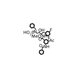 CO[C@](Cc1cc(F)cc(F)c1)(NC(=O)c1cc(NC(=O)c2ccccc2)cc(C(C)=O)c1)[C@H](O)CN(Cc1ccccc1)C(=O)O